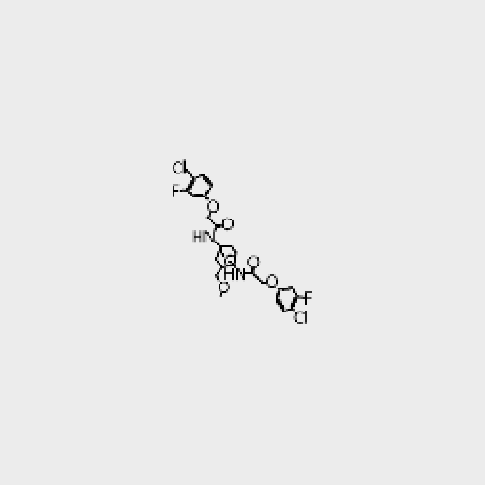 COCC1CC2(NC(=O)COc3ccc(Cl)c(F)c3)CCC1(NC(=O)COc1ccc(Cl)c(F)c1)CC2